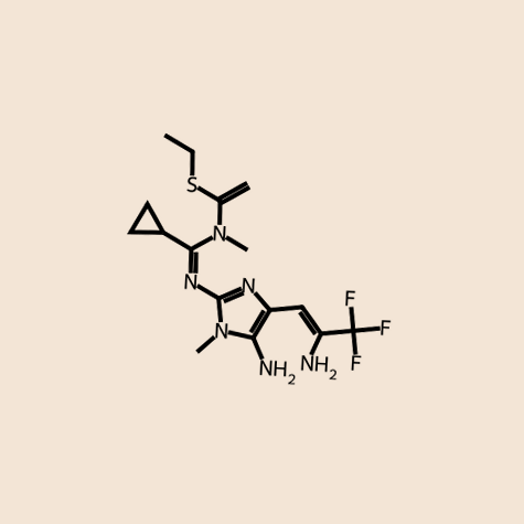 C=C(SCC)N(C)/C(=N\c1nc(/C=C(\N)C(F)(F)F)c(N)n1C)C1CC1